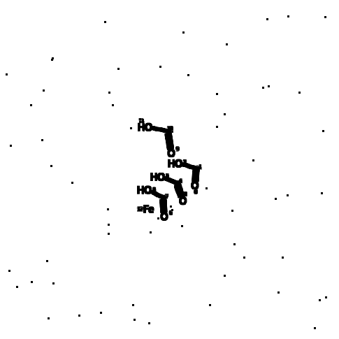 O=[C]O.O=[C]O.O=[C]O.O=[C]O.[Fe]